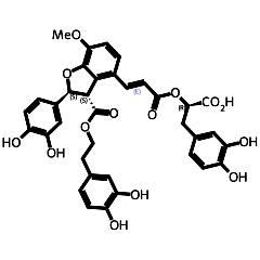 COc1ccc(/C=C/C(=O)O[C@H](Cc2ccc(O)c(O)c2)C(=O)O)c2c1O[C@H](c1ccc(O)c(O)c1)[C@H]2C(=O)OCCc1ccc(O)c(O)c1